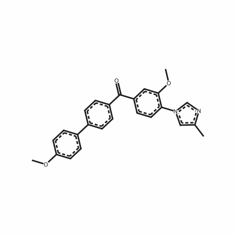 COc1ccc(-c2ccc(C(=O)c3ccc(-n4cnc(C)c4)c(OC)c3)cc2)cc1